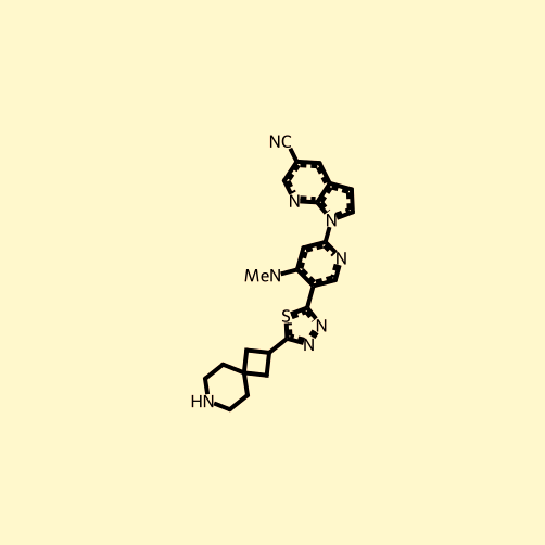 CNc1cc(-n2ccc3cc(C#N)cnc32)ncc1-c1nnc(C2CC3(CCNCC3)C2)s1